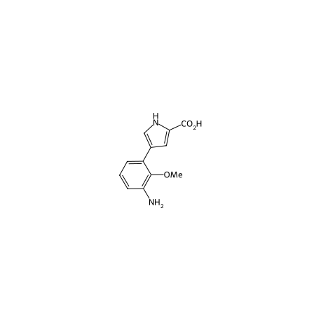 COc1c(N)cccc1-c1c[nH]c(C(=O)O)c1